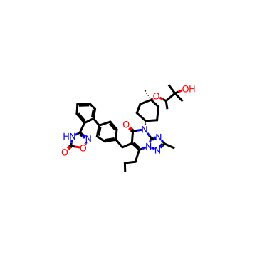 CCCc1c(Cc2ccc(-c3ccccc3-c3noc(=O)[nH]3)cc2)c(=O)n([C@H]2CC[C@](C)(OC(C)C(C)(C)O)CC2)c2nc(C)nn12